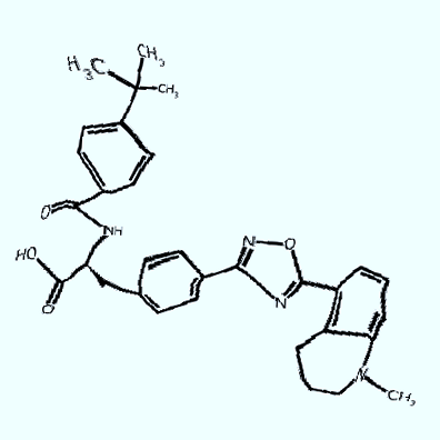 CN1CCCc2c(-c3nc(-c4ccc(C[C@H](NC(=O)c5ccc(C(C)(C)C)cc5)C(=O)O)cc4)no3)cccc21